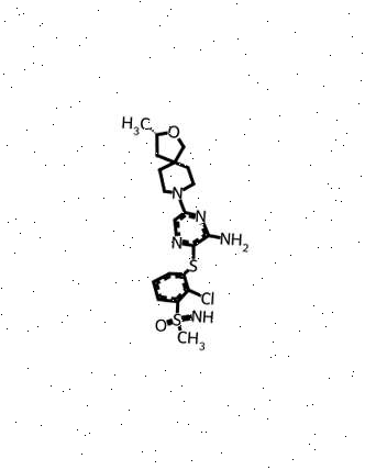 C[C@H]1CC2(CCN(c3cnc(Sc4cccc(S(C)(=N)=O)c4Cl)c(N)n3)CC2)CO1